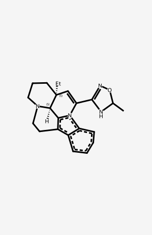 CC[C@@]12C=C(C3=NOC(C)N3)n3c4c(c5ccccc53)CCN(CCC1)[C@H]42